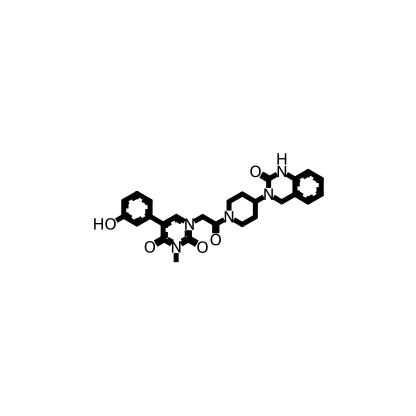 Cn1c(=O)c(-c2cccc(O)c2)cn(CC(=O)N2CCC(N3Cc4ccccc4NC3=O)CC2)c1=O